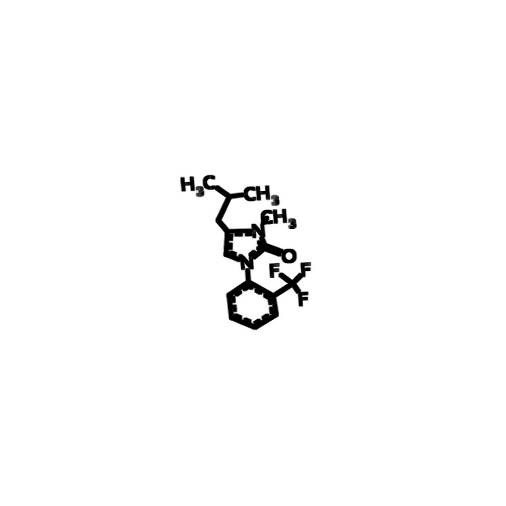 CC(C)Cc1cn(-c2ccccc2C(F)(F)F)c(=O)n1C